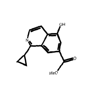 COC(=O)c1cc(O)c2ccnc(C3CC3)c2c1